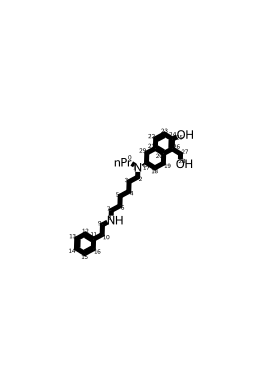 CCCN(CCCCCCNCCc1ccccc1)[C@H]1CCc2c(ccc(O)c2CO)C1